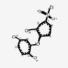 CCS(=O)(=O)c1ccc(Oc2cc(Cl)ccc2[O])c(Cl)c1